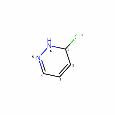 ClC1C=CC=NN1